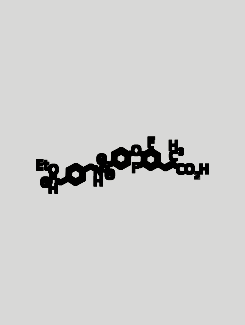 CCO[PH](=O)Cc1ccc(CNS(=O)(=O)c2ccc(Oc3c(F)cc(/C=C(\C)C(=O)O)cc3F)cc2)cc1